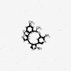 CCn1ncc2c1-c1cnc(N)c(c1)O[C@H](C)c1cc(C)ccc1-c1c(cnn1C)C2